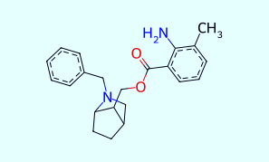 Cc1cccc(C(=O)OCC2C3CCC2N(Cc2ccccc2)C3)c1N